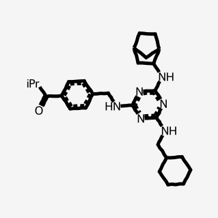 CC(C)C(=O)c1ccc(CNc2nc(NCC3CCCCC3)nc(NC3CC4CCC3C4)n2)cc1